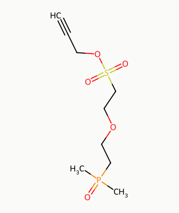 C#CCOS(=O)(=O)CCOCCP(C)(C)=O